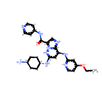 CCOc1ccnc(Nc2cc(N[C@H]3CC[C@H](N)CC3)nn3c(C(=O)Nc4ccncc4)cnc23)c1